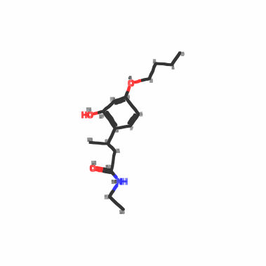 CCCCOc1ccc(C(C)CC(=O)NCC)c(O)c1